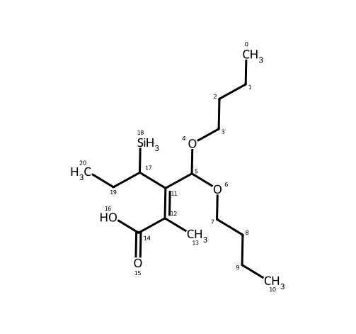 CCCCOC(OCCCC)C(=C(C)C(=O)O)C([SiH3])CC